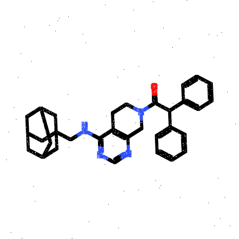 O=C(C(c1ccccc1)c1ccccc1)N1CCc2c(ncnc2NCC23CC4CC(CC(C4)C2)C3)C1